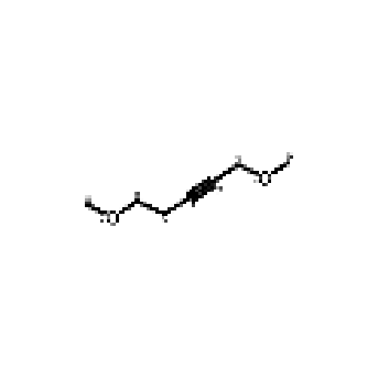 COCC#CCCOC